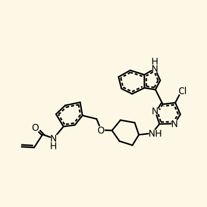 C=CC(=O)Nc1cccc(COC2CCC(Nc3ncc(Cl)c(-c4c[nH]c5ccccc45)n3)CC2)c1